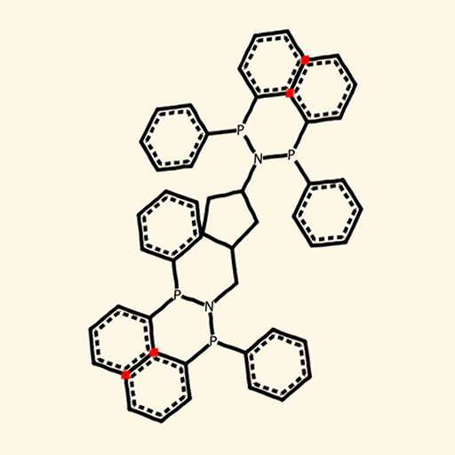 c1ccc(P(c2ccccc2)N(CC2CCC(N(P(c3ccccc3)c3ccccc3)P(c3ccccc3)c3ccccc3)C2)P(c2ccccc2)c2ccccc2)cc1